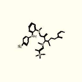 C=C(/C=C\C)CCC(C)C(C(=C)CN(C)c1ccccc1Nc1ccc(C(C)(C)C)cc1)N(C)/C=C(\C)[Si](C)(C)C